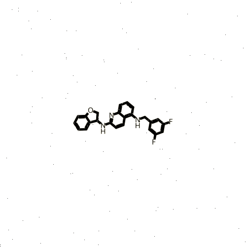 Fc1cc(F)cc(CNc2cccc3nc(NC4COc5ccccc54)ccc23)c1